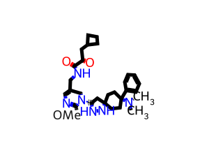 COC1=NC=C(CNC(=O)C(=O)CC2CCC2)CN1[C@@H]1CC2(CCC(c3ccccc3)(N(C)C)CC2)NN1